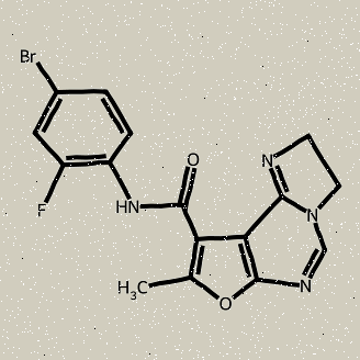 Cc1oc2c(c1C(=O)Nc1ccc(Br)cc1F)C1=NCCN1C=N2